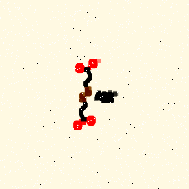 O=C([O-])CCSSCCC(=O)[O-].[Ag+].[Ag+]